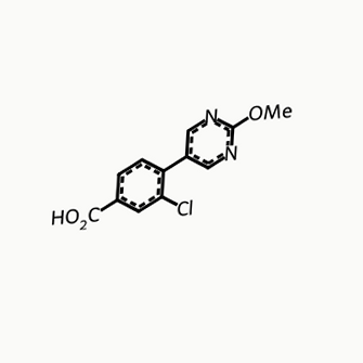 COc1ncc(-c2ccc(C(=O)O)cc2Cl)cn1